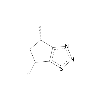 C[C@@H]1C[C@H](C)c2nnsc21